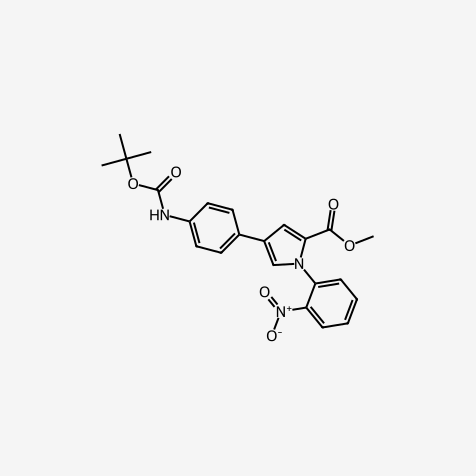 COC(=O)c1cc(-c2ccc(NC(=O)OC(C)(C)C)cc2)cn1-c1ccccc1[N+](=O)[O-]